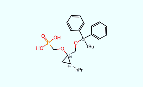 CCC[C@@H]1C[C@@]1(CO[Si](c1ccccc1)(c1ccccc1)C(C)(C)C)OCP(=O)(O)O